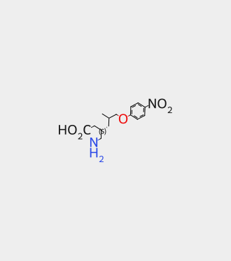 CC(COc1ccc([N+](=O)[O-])cc1)C[C@H](CN)CC(=O)O